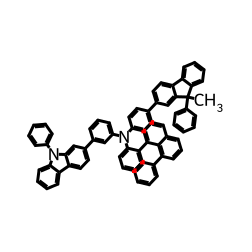 CC1(c2ccccc2)c2ccccc2-c2ccc(-c3ccc(N(c4cccc(-c5ccc6c7ccccc7n(-c7ccccc7)c6c5)c4)c4ccccc4-c4cccc5cccc(-c6ccccc6)c45)cc3)cc21